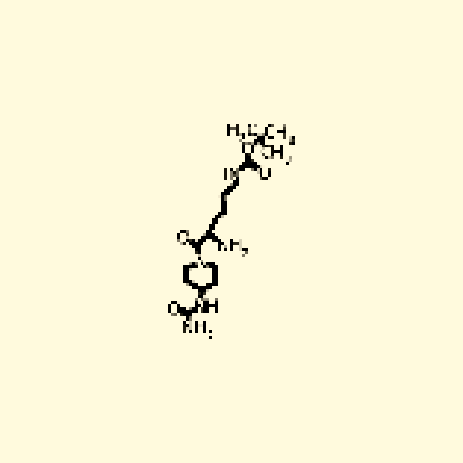 CC(C)(C)OC(=O)NCCCCC(N)C(=O)N1CCC(NC(N)=O)CC1